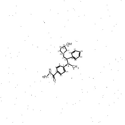 CCCNC(=O)c1ccc(N(C)C(CN2CC[C@H](O)C2)c2ccccc2)cc1